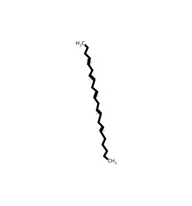 [CH2]CC/C=C/C/C=C/C/C=C/C/C=C/C/C=C/CCCCC